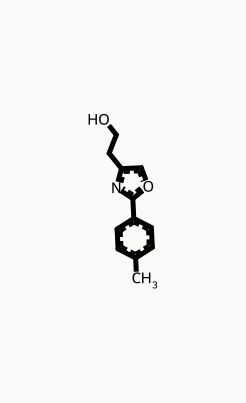 Cc1ccc(-c2nc(CCO)co2)cc1